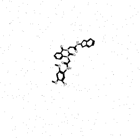 COc1cc(OC)c(NC(=O)Cn2c(=O)n(CC(=O)NC3Cc4ccccc4C3)c(=O)c3ccccc32)cc1Cl